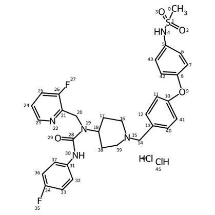 CS(=O)(=O)Nc1ccc(Oc2ccc(CN3CCC(N(Cc4ncccc4F)C(=O)Nc4ccc(F)cc4)CC3)cc2)cc1.Cl.Cl